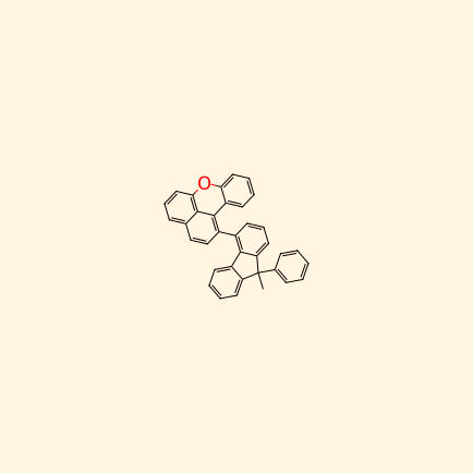 CC1(c2ccccc2)c2ccccc2-c2c(-c3ccc4cccc5c4c3-c3ccccc3O5)cccc21